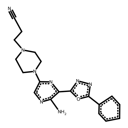 N#CCCN1CCN(c2cnc(N)c(-c3nnc(-c4ccccc4)o3)n2)CC1